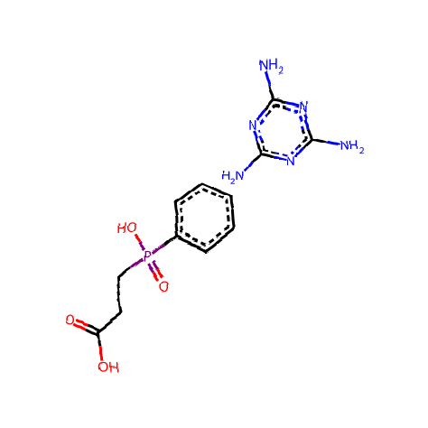 Nc1nc(N)nc(N)n1.O=C(O)CCP(=O)(O)c1ccccc1